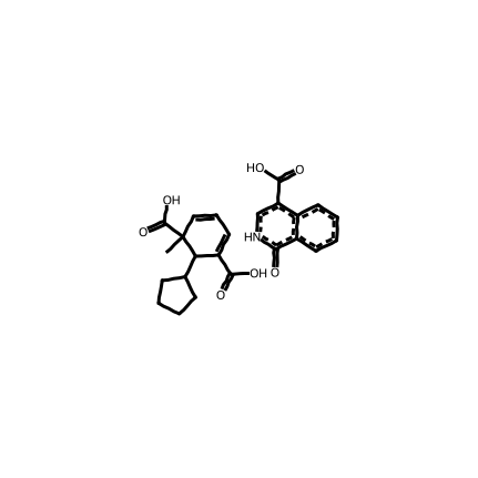 CC1(C(=O)O)C=CC=C(C(=O)O)C1C1CCCC1.O=C(O)c1c[nH]c(=O)c2ccccc12